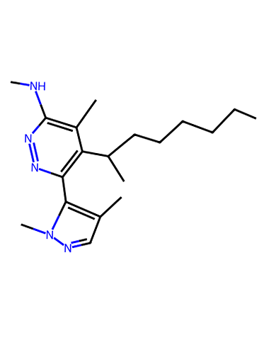 CCCCCCC(C)c1c(-c2c(C)cnn2C)nnc(NC)c1C